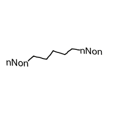 CCCC[CH]CCCCCCCCCCCCCCCCCC